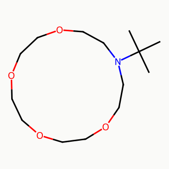 CC(C)(C)N1CCOCCOCCOCCOCC1